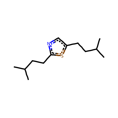 CC(C)CCc1cnc(CCC(C)C)s1